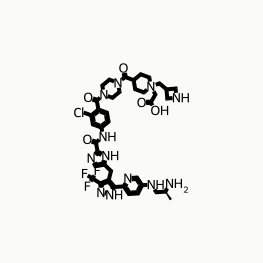 C[C@H](N)CNc1ccc(-c2[nH]nc(C(F)(F)F)c2Cc2cnc(C(=O)Nc3ccc(C(=O)N4CCN(C(=O)C5CC[N+](CC(=O)O)(CC6CNC6)CC5)CC4)c(Cl)c3)[nH]2)nc1